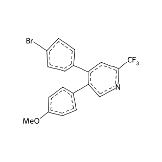 COc1ccc(-c2cnc(C(F)(F)F)cc2-c2ccc(Br)cc2)cc1